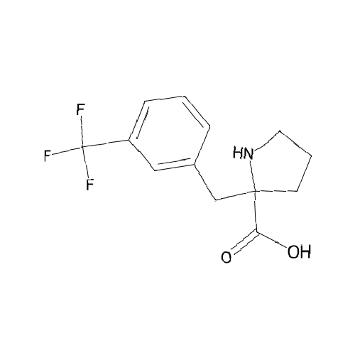 O=C(O)C1(Cc2cccc(C(F)(F)F)c2)CCCN1